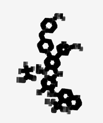 COc1cc(N2CCC(CN3CCN(C)CC3)CC2)c(-c2cnn(C)c2)cc1Nc1ncc(Br)c(Nc2ccc3nccnc3c2P(C)(C)=O)n1.O=C(O)C(F)(F)F